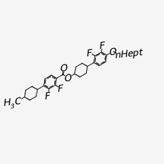 CCCCCCCOc1ccc(C2CCC(OC(=O)c3ccc(C4CCC(C)CC4)c(F)c3F)CC2)c(F)c1F